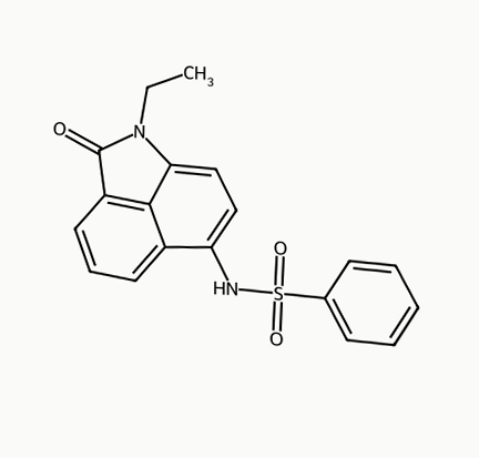 CCN1C(=O)c2cccc3c(NS(=O)(=O)c4ccccc4)ccc1c23